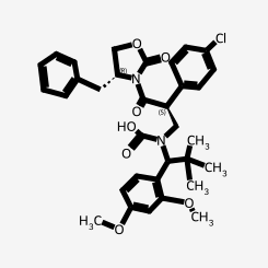 COc1ccc(C(N(C[C@@H](C(=O)N2C(=O)OC[C@H]2Cc2ccccc2)c2ccc(Cl)cc2)C(=O)O)C(C)(C)C)c(OC)c1